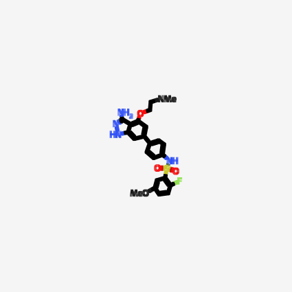 CNCCOc1cc(-c2ccc(NS(=O)(=O)c3cc(OC)ccc3F)cc2)cc2[nH]nc(N)c12